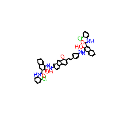 O=C1C(C=Cc2ccc(N=Nc3c(O)c(C(=O)Nc4ccccc4Cl)cc4ccccc34)cc2)=CC=C2C1=Cc1cc(N=Nc3c(O)c(C(=O)Nc4ccccc4Cl)cc4ccccc34)ccc12